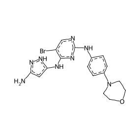 Nc1cc(Nc2nc(Nc3ccc(N4CCOCC4)cc3)ncc2Br)[nH]n1